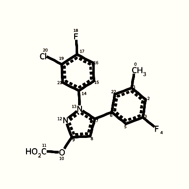 Cc1cc(F)cc(-c2cc(OC(=O)O)nn2-c2ccc(F)c(Cl)c2)c1